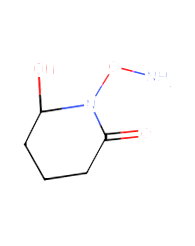 NON1C(=O)CCCC1O